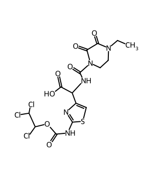 CCN1CCN(C(=O)NC(C(=O)O)c2csc(NC(=O)OC(Cl)C(Cl)Cl)n2)C(=O)C1=O